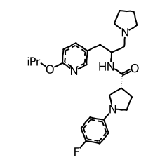 CC(C)Oc1ccc(CC(CN2CCCC2)NC(=O)[C@@H]2CCN(c3ccc(F)cc3)C2)cn1